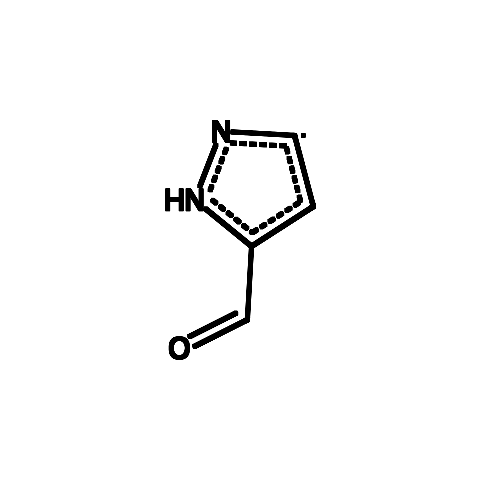 O=Cc1c[c]n[nH]1